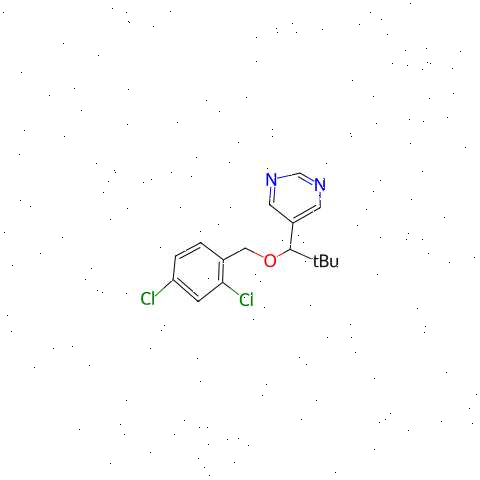 CC(C)(C)C(OCc1ccc(Cl)cc1Cl)c1cncnc1